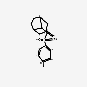 C=C1CC2CCC(C1)C2NS(=O)(=O)c1ccc(I)cc1